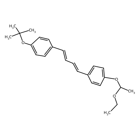 CCOC(C)Oc1ccc(C=CC=Cc2ccc(OC(C)(C)C)cc2)cc1